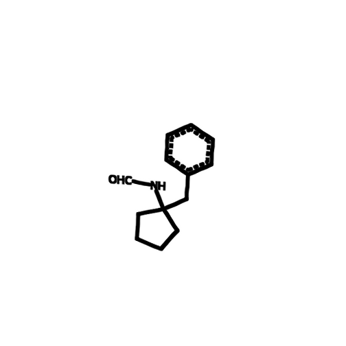 O=CNC1(Cc2ccccc2)CCCC1